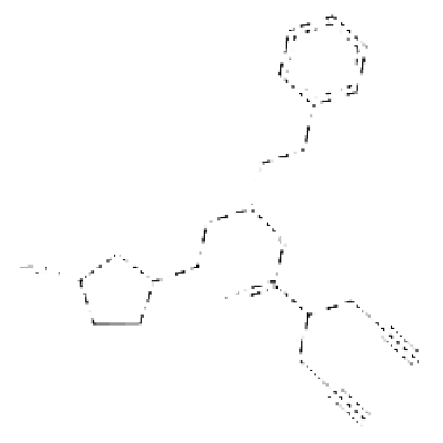 C#CCC(CC#C)C(=O)O[C@@H](CCc1ccccc1)CCC1CC[C@H](O)C1